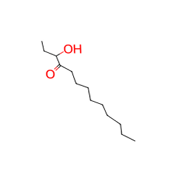 CCCCCCCCCC(=O)C(O)CC